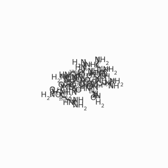 C[C@H](NC(=O)[C@H](CCC(N)=O)NC(=O)[C@@H](C)CCCNC(=N)N)C(=O)N[C@@H](CCC(N)=O)C(=O)N[C@@H](CCCNC(=N)N)C(=O)N[C@@H](CCCNC(=N)N)C(=O)N1CCC[C@H]1C(=O)N[C@@H](CCC(N)=O)C(=O)N[C@@H](CCCNC(=N)N)C(=O)N[C@@H](CCC(N)=O)C(=O)N[C@@H](CCCCN)C(N)=O